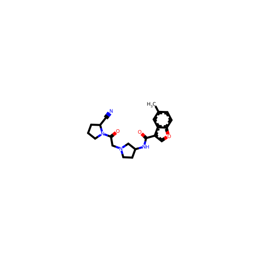 Cc1ccc2occ(C(=O)NC3CCN(CC(=O)N4CCCC4C#N)C3)c2c1